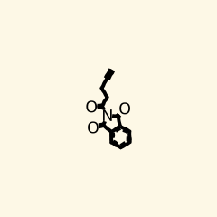 C#CCCC(=O)N1C(=O)c2ccccc2C1=O